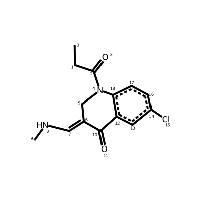 CCC(=O)N1CC(=CNC)C(=O)c2cc(Cl)ccc21